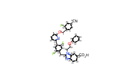 N#Cc1ccc(COc2cccc(-c3cc(F)c(Cc4nc5ccc(C(=O)O)cc5n4CCOc4ccccc4)cc3F)n2)c(F)c1